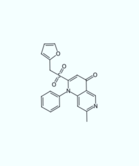 Cc1cc2c(cn1)c(=O)cc(S(=O)(=O)Cc1ccco1)n2-c1ccccc1